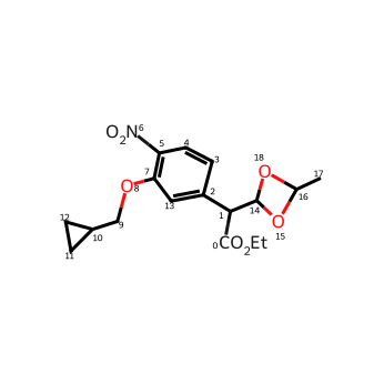 CCOC(=O)C(c1ccc([N+](=O)[O-])c(OCC2CC2)c1)C1OC(C)O1